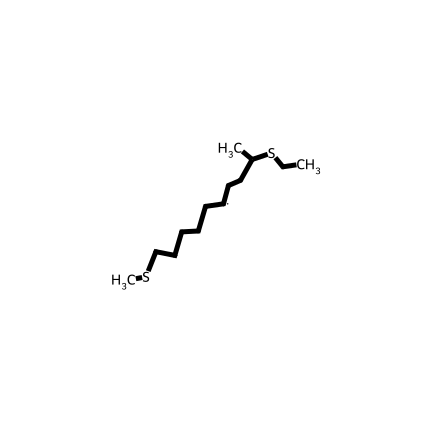 CCSC(C)CC[CH]CCCCCSC